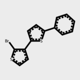 Brc1sccc1-c1ccc(-c2ccccc2)s1